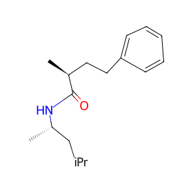 CC(C)C[C@H](C)NC(=O)[C@@H](C)CCc1ccccc1